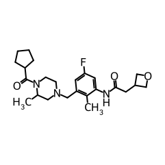 Cc1c(CN2CCN(C(=O)C3CCCC3)C(C)C2)cc(F)cc1NC(=O)CC1COC1